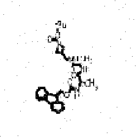 C[C@H](NC(=O)OCC1c2ccccc2-c2ccccc21)C(=O)N[C@@H](C)C(=O)NCC1CN(C(=O)OC(C)(C)C)C1